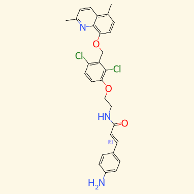 Cc1ccc2c(C)ccc(OCc3c(Cl)ccc(OCCNC(=O)/C=C/c4ccc(N)cc4)c3Cl)c2n1